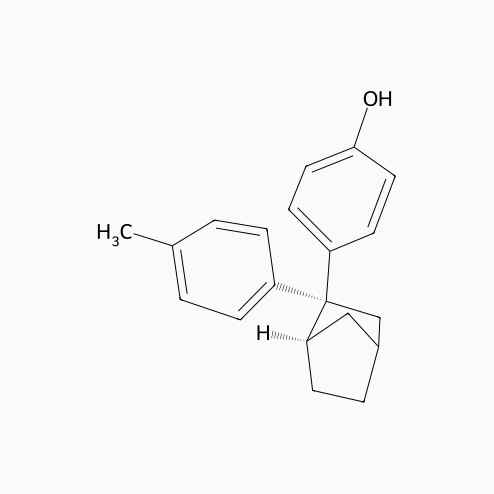 Cc1ccc([C@]2(c3ccc(O)cc3)CC3CC[C@@H]2C3)cc1